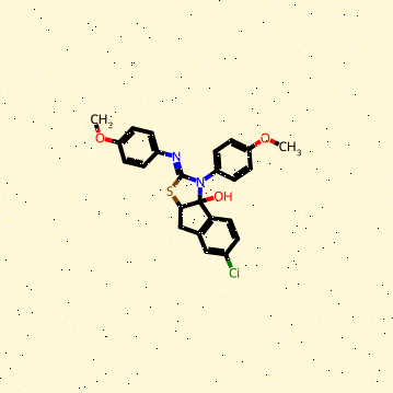 COc1ccc(N=C2SC3Cc4cc(Cl)ccc4C3(O)N2c2ccc(OC)cc2)cc1